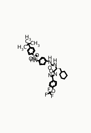 CC(C)(C)c1ccc(S(=O)(=O)Nc2ccc(NC(=O)N[C@H](CC3CCCCC3)c3nc(-c4ccc(OC(F)(F)F)cc4)no3)cc2)cc1